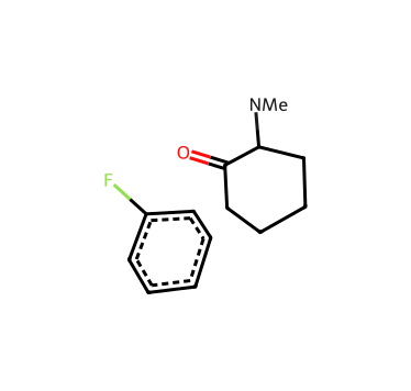 CNC1CCCCC1=O.Fc1ccccc1